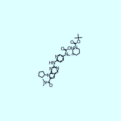 CN(C)C(=O)c1cc2cnc(Nc3ccc(N(C[C@H]4CCCN(C(=O)OC(C)(C)C)C4)C(=O)O)cn3)nc2n1C1CCCC1